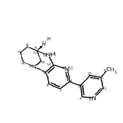 Cc1cncc(-c2ccc3c(n2)N[C@H]2CCCN3C2)c1